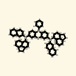 c1ccc(N2c3ccc(N(c4ccc5ccccc5c4)c4ccc5c6c(cccc46)CC5)cc3Sc3cc(N(c4ccc5ccccc5c4)c4ccc5c6c(cccc46)CC5)ccc32)cc1